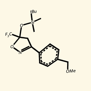 COCc1ccc(C2=NOC(O[Si](C)(C)C(C)(C)C)(C(F)(F)F)C2)cc1